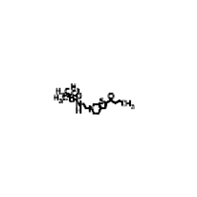 CCCC(=O)c1cc2c(s1)CN(CCNC(=O)OC(C)(C)C)CC2